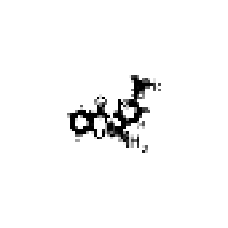 COc1ccccc1C(=O)n1nc(N)c2ccc([C@H]3C[C@@H]3F)nc21